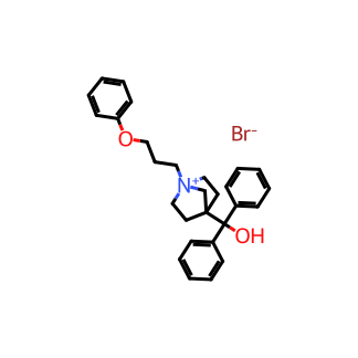 OC(c1ccccc1)(c1ccccc1)C12CC[N+](CCCOc3ccccc3)(CC1)C2.[Br-]